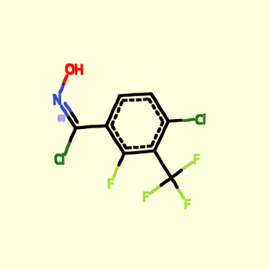 O/N=C(/Cl)c1ccc(Cl)c(C(F)(F)F)c1F